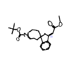 COC(=O)/C=C1\CC2(CCN(C(=O)OC(C)(C)C)CC2)c2ccccc21